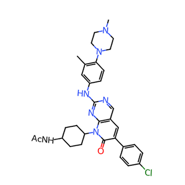 CC(=O)NC1CCC(n2c(=O)c(-c3ccc(Cl)cc3)cc3cnc(Nc4ccc(N5CCN(C)CC5)c(C)c4)nc32)CC1